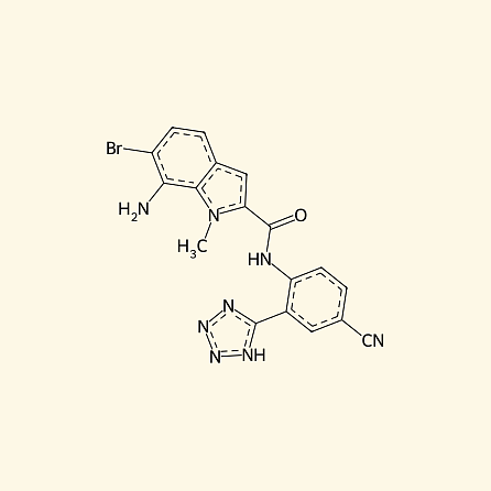 Cn1c(C(=O)Nc2ccc(C#N)cc2-c2nnn[nH]2)cc2ccc(Br)c(N)c21